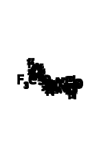 O=C1CN=CC(N2CCn3c(OSc4ccc(F)cc4C(F)(F)F)cnc3C2)=C1Cl